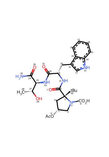 CC(=O)O[C@H]1CN(C(=O)O)[C@](C(=O)N[C@@H](Cc2c[nH]c3ccccc23)C(=O)N[C@H](C(N)=O)[C@@H](C)O)(C(C)(C)C)C1